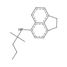 CCCC(C)(C)Pc1ccc2c3c(cccc13)CC2